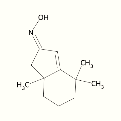 CC1(C)CCCC2(C)CC(=NO)C=C12